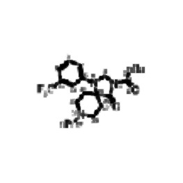 CCCCC(=O)N1CN(c2cccc(C(F)(F)F)c2)C2(CCN(CCC)CC2)C1=O